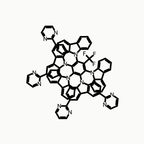 FC(F)(F)c1c(-n2c3ccccc3c3ccccc32)c(-n2c3ccc(-c4ncccn4)cc3c3cc(-c4ncccn4)ccc32)c(-n2c3ccccc3c3ccccc32)c(-n2c3ccc(-c4ncccn4)cc3c3cc(-c4ncccn4)ccc32)c1-n1c2ccccc2c2ccccc21